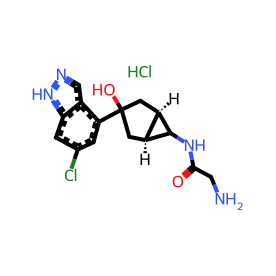 Cl.NCC(=O)NC1[C@H]2CC(O)(c3cc(Cl)cc4[nH]ncc34)C[C@@H]12